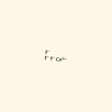 [Ce+3].[F-].[F-].[F-]